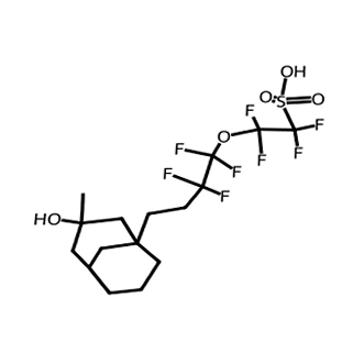 CC1(O)CC2CCCC(CCC(F)(F)C(F)(F)OC(F)(F)C(F)(F)S(=O)(=O)O)(C2)C1